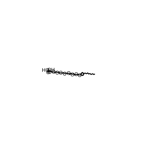 CCCCCCCCCc1ccc(OCCOCCOCCOCCOCCOCCOCCOCCOP(=O)(O)O)cc1